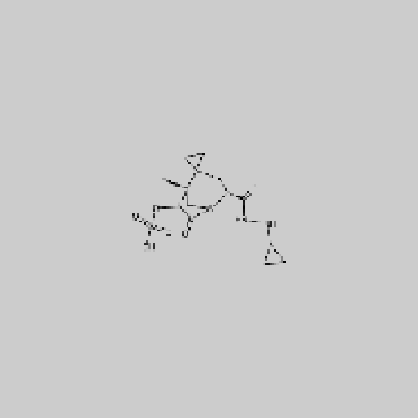 O=C(NNC1CC1)[C@@H]1CC2(CC2)[C@@H]2CN1C(=O)N2OS(=O)(=O)O